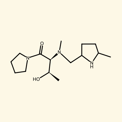 CC1CCC(CN(C)[C@H](C(=O)N2CCCC2)[C@@H](C)O)N1